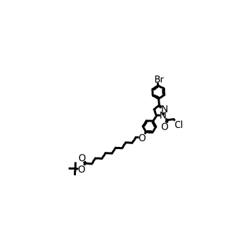 CC(C)(C)OC(=O)CCCCCCCCCCOc1ccc(C2CC(c3ccc(Br)cc3)=NN2C(=O)CCl)cc1